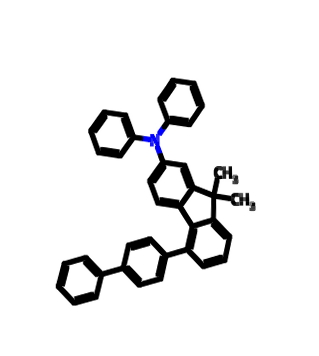 CC1(C)c2cc(N(c3ccccc3)c3ccccc3)ccc2-c2c(-c3ccc(-c4ccccc4)cc3)cccc21